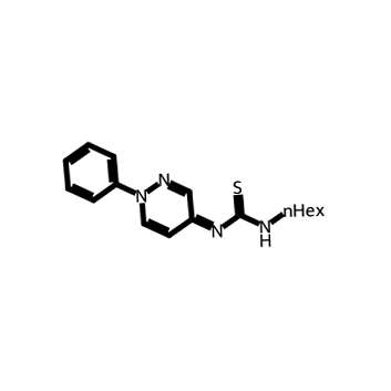 CCCCCCNC(=S)/N=c1/ccn(-c2ccccc2)nc1